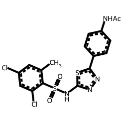 CC(=O)Nc1ccc(-c2nnc(NS(=O)(=O)c3c(C)cc(Cl)cc3Cl)s2)cc1